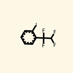 FC(F)C(F)(F)c1ccccc1I